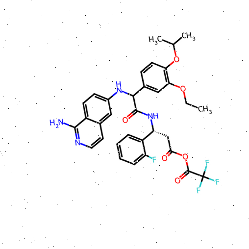 CCOc1cc(C(Nc2ccc3c(N)nccc3c2)C(=O)N[C@H](CC(=O)OC(=O)C(F)(F)F)c2ccccc2F)ccc1OC(C)C